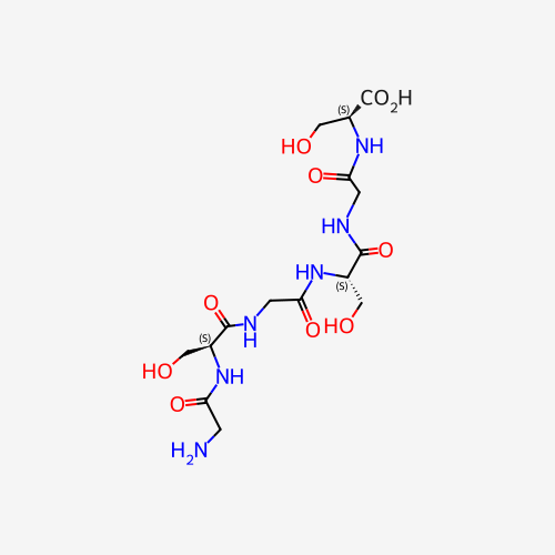 NCC(=O)N[C@@H](CO)C(=O)NCC(=O)N[C@@H](CO)C(=O)NCC(=O)N[C@@H](CO)C(=O)O